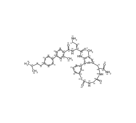 Cc1cc2cc(c1NC(=O)[C@H](CCN)NC(=O)c1cnc(-c3ccc(CCC(C)C)cc3)nc1C)-c1cccc(c1)CC(=O)NCC(=O)NC(C(N)=O)C2